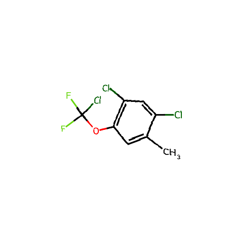 Cc1cc(OC(F)(F)Cl)c(Cl)cc1Cl